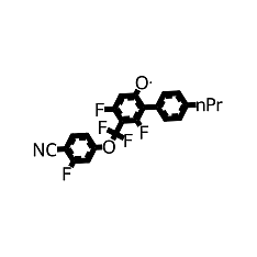 CCCc1ccc(-c2c([O])cc(F)c(C(F)(F)Oc3ccc(C#N)c(F)c3)c2F)cc1